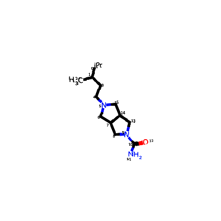 CC(C)C(C)CCN1CC2CN(C(N)=O)CC2C1